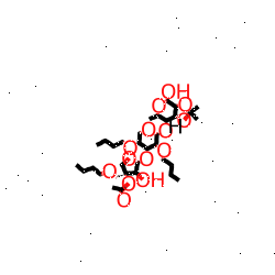 CCCCOC[C@]1(OC(C)=O)CO[C@@H](O[C@H]2C(OCCCC)[C@H](O[C@H]3C(C)O[C@@H](O)C4OC(C)(C)O[C@@H]43)OC[C@H]2OCCCC)C1O